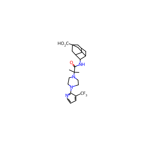 CC(C)(C(=O)NC1C2CC3CC1CC(C(=O)O)(C3)C2)N1CCN(c2ncccc2C(F)(F)F)CC1